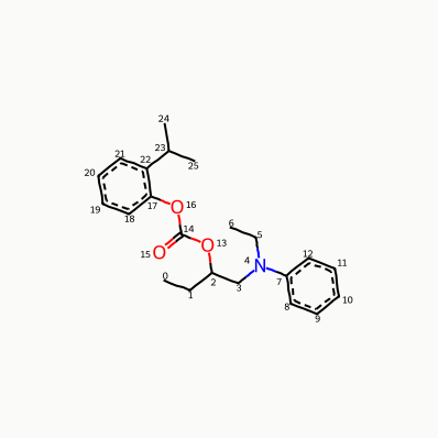 CCC(CN(CC)c1ccccc1)OC(=O)Oc1ccccc1C(C)C